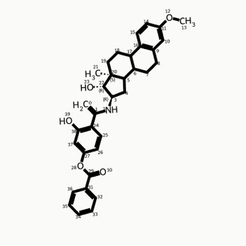 C=C(N[C@@H]1CC2C3CCc4cc(OC)ccc4C3CC[C@]2(C)[C@H]1O)c1ccc(OC(=O)c2ccccc2)cc1O